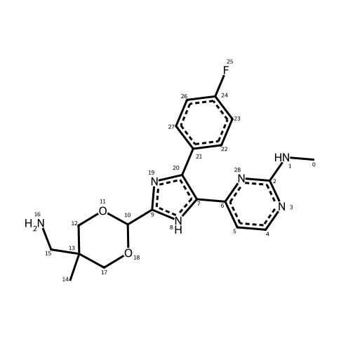 CNc1nccc(-c2[nH]c(C3OCC(C)(CN)CO3)nc2-c2ccc(F)cc2)n1